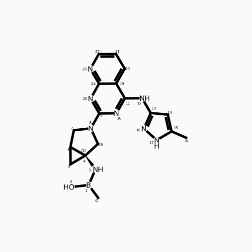 CB(O)N[C@@]12CC1CN(c1nc(Nc3cc(C)[nH]n3)c3cccnc3n1)C2